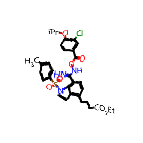 CCOC(=O)CCCc1ccc(C(=N)NOC(=O)c2ccc(OC(C)C)c(Cl)c2)c2c1ccn2S(=O)(=O)c1ccc(C)cc1